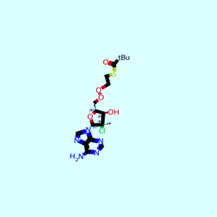 CC(C)(C)C(=O)SCCOOC[C@H]1O[C@@H](n2cnc3c(N)ncnc32)[C@](C)(Cl)[C@@H]1O